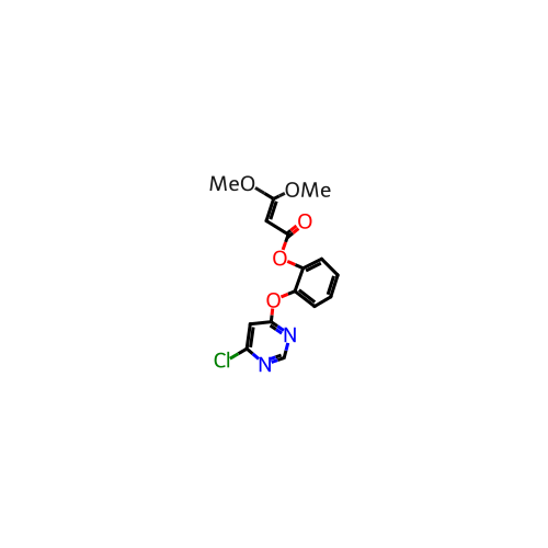 COC(=CC(=O)Oc1ccccc1Oc1cc(Cl)ncn1)OC